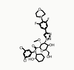 CO[C@@H]1[C@@H](n2cc(-c3cc(F)c(N4CCOCC4)c(F)c3)nn2)[C@@H](O)[C@@H](CO)O[C@H]1C(=O)N(c1cc(Cl)cc(Cl)c1)[C@H]1CCCC[C@@H]1O